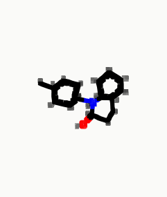 Cc1ccc(N2C(=O)CCc3ccccc32)cc1